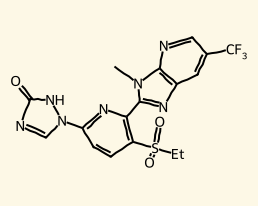 CCS(=O)(=O)c1ccc(-n2cnc(=O)[nH]2)nc1-c1nc2cc(C(F)(F)F)cnc2n1C